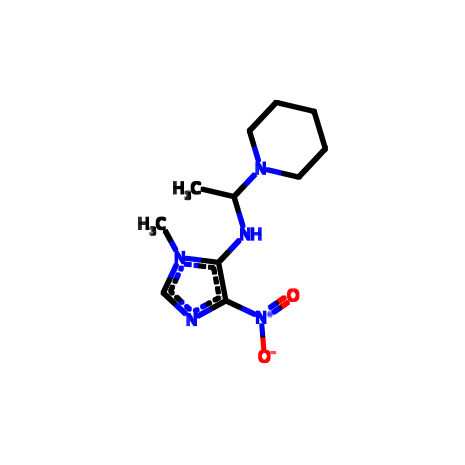 CC(Nc1c([N+](=O)[O-])ncn1C)N1CCCCC1